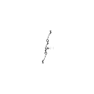 C=C(C)C(=O)OCCCCCOc1ccc(C(=O)OCCc2ccc(OC(=O)c3ccc(OCCCCCOC(=O)C(=C)C)cc3)c(C=N)c2)cc1